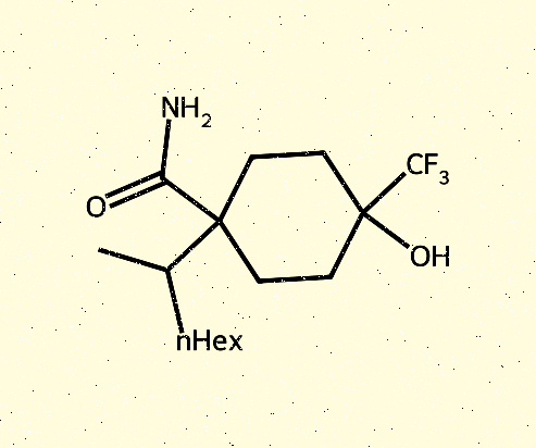 CCCCCCC(C)C1(C(N)=O)CCC(O)(C(F)(F)F)CC1